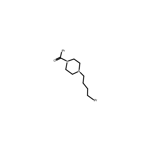 CC(C)CCCCN1CCN(C(=O)C(C)C)CC1